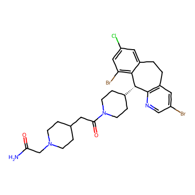 NC(=O)CN1CCC(CC(=O)N2CCC([C@H]3c4ncc(Br)cc4CCc4cc(Cl)cc(Br)c43)CC2)CC1